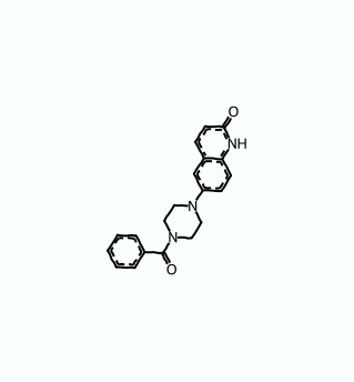 O=C(c1ccccc1)N1CCN(c2ccc3[nH]c(=O)ccc3c2)CC1